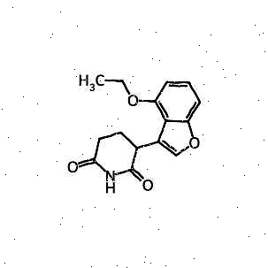 CCOc1cccc2occ(C3CCC(=O)NC3=O)c12